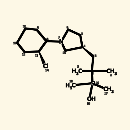 CC(C)(C[C@@H]1CCN(C2CCCC[C@@H]2Cl)C1)[Si](C)(C)O